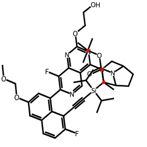 COCOc1cc(-c2ncc3c(N4CC5CCC(C4)N5C(=O)OC(C)(C)C)nc(OCCO)nc3c2F)c2c(C#C[Si](C(C)C)(C(C)C)C(C)C)c(F)ccc2c1